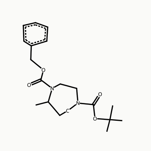 CC1CCN(C(=O)OC(C)(C)C)CCN1C(=O)OCc1ccccc1